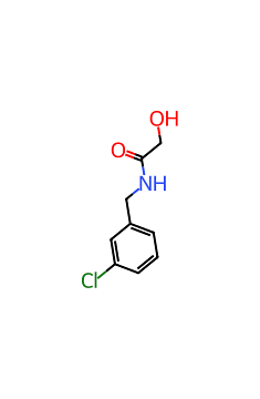 O=C(CO)NCc1cccc(Cl)c1